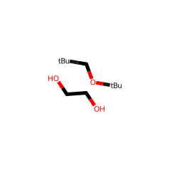 CC(C)(C)COC(C)(C)C.OCCO